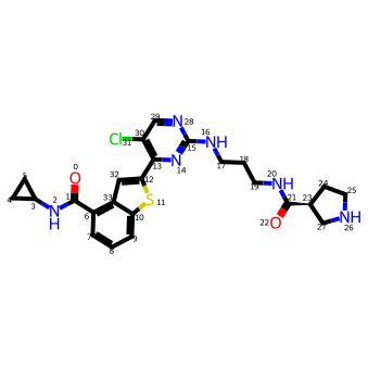 O=C(NC1CC1)c1cccc2sc(-c3nc(NCCCNC(=O)[C@H]4CCNC4)ncc3Cl)cc12